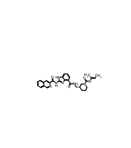 C/C=C(\C)OC(=O)N1CCC[C@@H](CNC(=O)c2cccc3[nH]c(NC(=O)c4cc5ccccc5cn4)nc23)C1